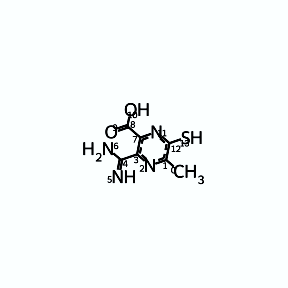 Cc1nc(C(=N)N)c(C(=O)O)nc1S